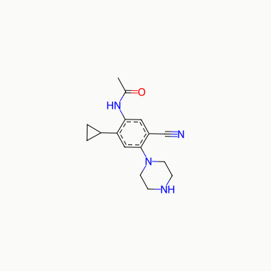 CC(=O)Nc1cc(C#N)c(N2CCNCC2)cc1C1CC1